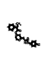 CCC(C(=O)ON1CCOC(CNC(=O)Nc2ccc(Cl)cc2)C1)c1ccccc1